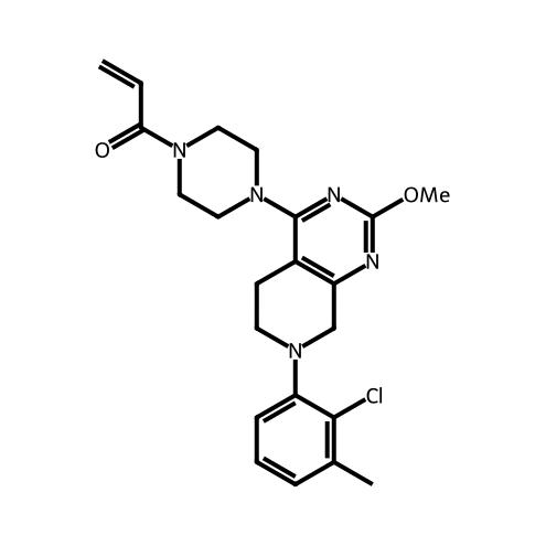 C=CC(=O)N1CCN(c2nc(OC)nc3c2CCN(c2cccc(C)c2Cl)C3)CC1